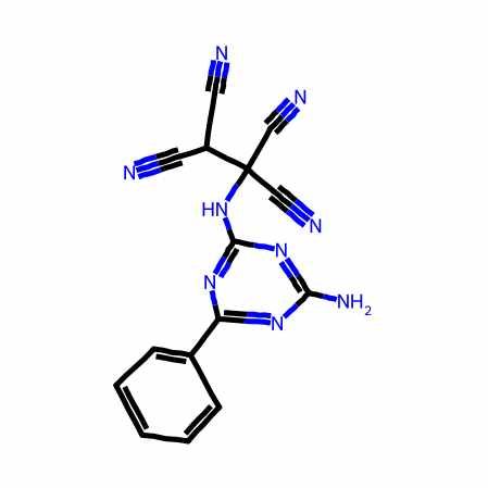 N#CC(C#N)C(C#N)(C#N)Nc1nc(N)nc(-c2ccccc2)n1